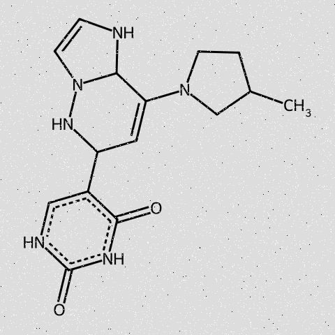 CC1CCN(C2=CC(c3c[nH]c(=O)[nH]c3=O)NN3C=CNC23)C1